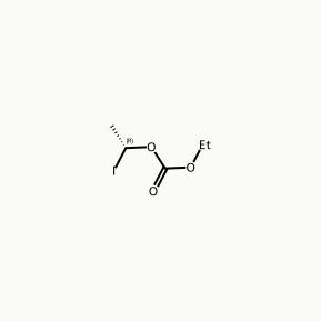 CCOC(=O)O[C@@H](C)I